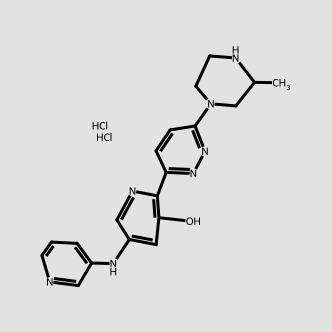 CC1CN(c2ccc(-c3ncc(Nc4cccnc4)cc3O)nn2)CCN1.Cl.Cl